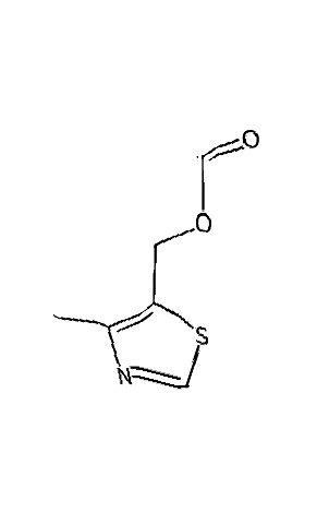 Cc1ncsc1CO[C]=O